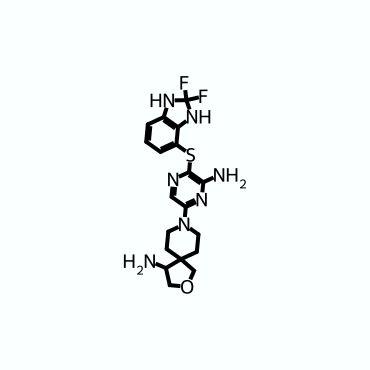 Nc1nc(N2CCC3(CC2)COCC3N)cnc1Sc1cccc2c1NC(F)(F)N2